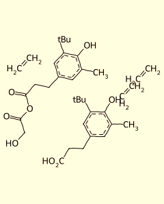 C=C.C=C.C=C.Cc1cc(CCC(=O)O)cc(C(C)(C)C)c1O.Cc1cc(CCC(=O)OC(=O)CO)cc(C(C)(C)C)c1O